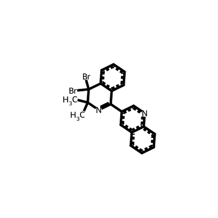 CC1(C)N=C(c2cnc3ccccc3c2)c2ccccc2C1(Br)Br